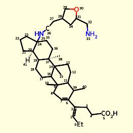 CC/C=C(\CCC(=O)O)C1=CCC2(C)C(CCC3(C)C2CCC2[C@H]4CCCC4(NCCC4COC(CN)C4)CC[C@]23C)C1C